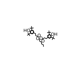 CCCCCC(OC(=O)CCc1cc(C(C)(C)C)c(O)c(C(C)(C)C)c1)OC(=O)CCc1cc(C(C)(C)C)c(O)c(C(C)(C)C)c1